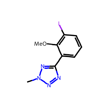 COc1c(I)cccc1-c1nnn(C)n1